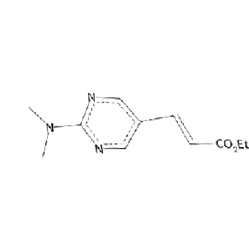 CCOC(=O)C=Cc1cnc(N(C)C)nc1